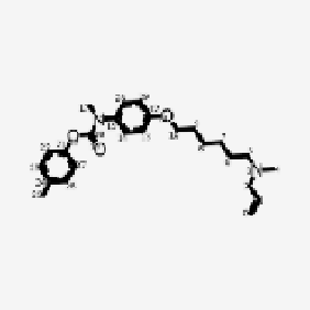 C=CCN(C)CCCCCCOc1ccc(N(C)C(=O)Oc2ccc(C)cc2)cc1